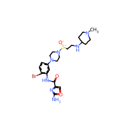 CN1CCC(NCC[S+]([O-])N2CCN(c3ccc(Br)c(NC(=O)c4coc(N)n4)c3)CC2)CC1